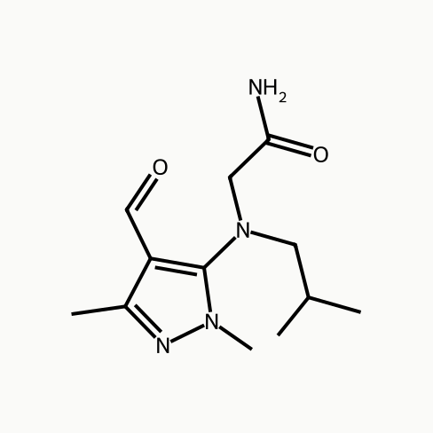 Cc1nn(C)c(N(CC(N)=O)CC(C)C)c1C=O